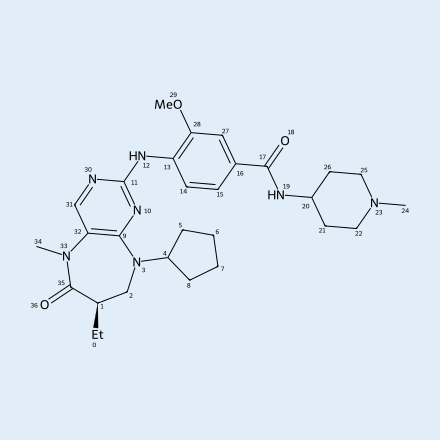 CC[C@@H]1CN(C2CCCC2)c2nc(Nc3ccc(C(=O)NC4CCN(C)CC4)cc3OC)ncc2N(C)C1=O